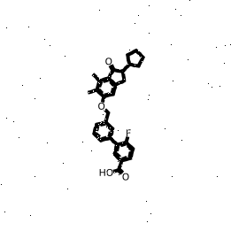 Cc1c(OCc2cccc(-c3cc(C(=O)O)ccc3F)c2)cc2c(c1C)C(=O)C(C1CCCC1)C2